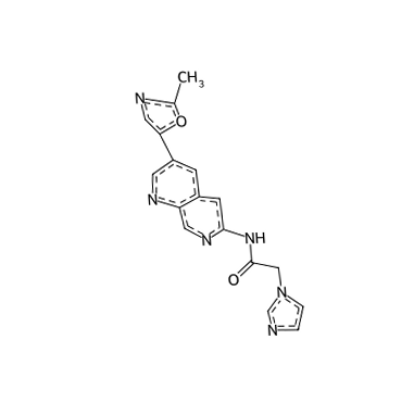 Cc1ncc(-c2cnc3cnc(NC(=O)Cn4ccnc4)cc3c2)o1